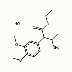 CCOC(=O)C(c1ccc(OC)c(OC)c1)C(C)N.Cl